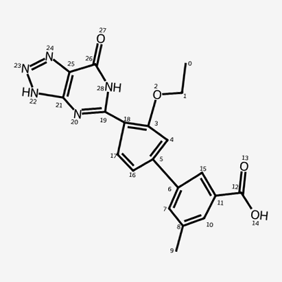 CCOc1cc(-c2cc(C)cc(C(=O)O)c2)ccc1-c1nc2[nH]nnc2c(=O)[nH]1